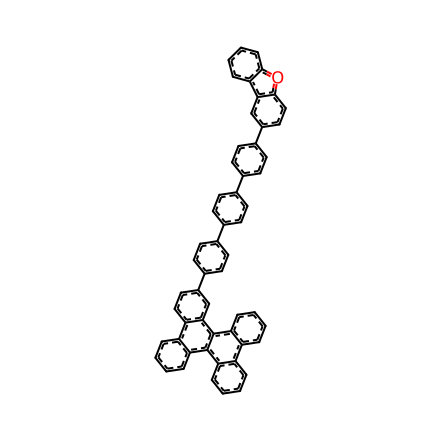 c1ccc2c(c1)oc1ccc(-c3ccc(-c4ccc(-c5ccc(-c6ccc7c8ccccc8c8c9ccccc9c9ccccc9c8c7c6)cc5)cc4)cc3)cc12